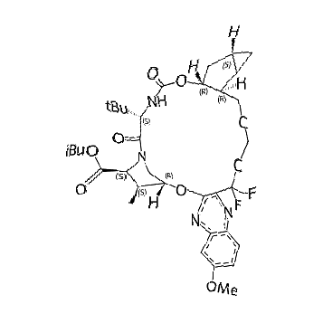 COc1ccc2nc3c(nc2c1)O[C@H]1CN(C(=O)[C@H](C(C)(C)C)NC(=O)O[C@@H]2C[C@@H]4CC4[C@H]2CCCCC3(F)F)[C@H](C(=O)OCC(C)C)[C@@H]1C